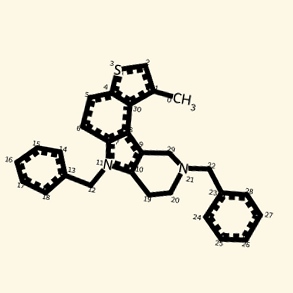 Cc1csc2ccc3c(c4c(n3Cc3ccccc3)CCN(Cc3ccccc3)C4)c12